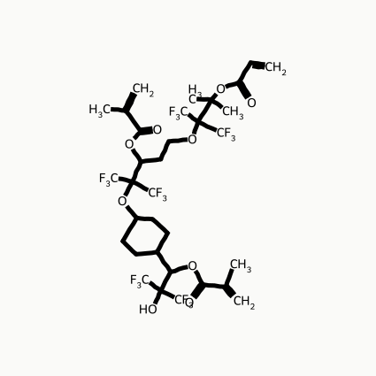 C=CC(=O)OC(C)(C)C(OCCC(OC(=O)C(=C)C)C(OC1CCC(C(OC(=O)C(=C)C)C(O)(C(F)(F)F)C(F)(F)F)CC1)(C(F)(F)F)C(F)(F)F)(C(F)(F)F)C(F)(F)F